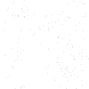 C[C@@H](Cc1cccc(CC(=O)NCCCN(C)C(=O)CCN2CCC(OC(=O)Nc3ccccc3-c3ccccc3)CC2)c1)NC[C@H](O)c1ccc(O)c2[nH]c(=O)ccc12.O=C(O)C(F)(F)F.O=C(O)C(F)(F)F